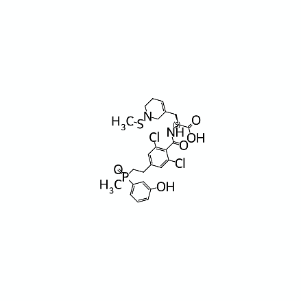 CSN1CCC=C(C[C@H](NC(=O)c2c(Cl)cc(CCP(C)(=O)c3cccc(O)c3)cc2Cl)C(=O)O)C1